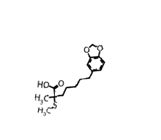 CSC(C)(CCCCCc1ccc2c(c1)OCO2)C(=O)O